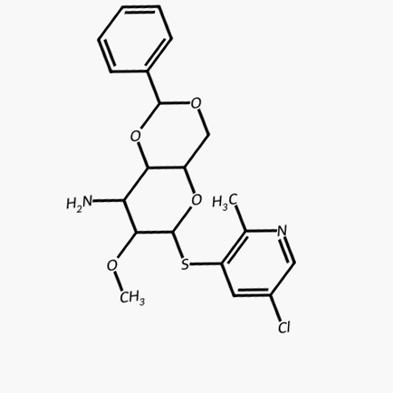 COC1C(Sc2cc(Cl)cnc2C)OC2COC(c3ccccc3)OC2C1N